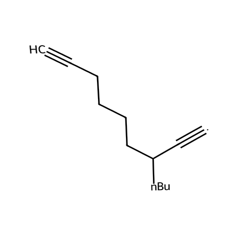 [C]#CC(CCCC)CCCCC#C